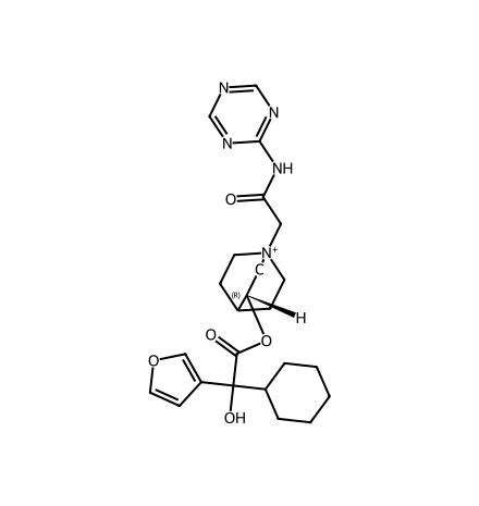 O=C(C[N+]12CCC(CC1)[C@@H](OC(=O)C(O)(c1ccoc1)C1CCCCC1)C2)Nc1ncncn1